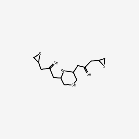 [Se]=C(CC1CS1)CC1C[Se]CC(CC(=[Se])CC2CS2)[Se]1